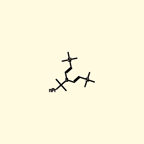 CCCC(C)(C)B(C=C[Si](C)(C)C)C=C[Si](C)(C)C